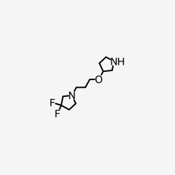 FC1(F)CCN(CCCOC2CCNC2)C1